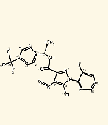 C[C@@H](NC(=O)c1nn(-c2ccccc2F)c(Cl)c1C=O)c1ccc(C(F)(F)F)cc1